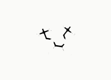 C[C@H](OCC(F)([N+](=O)[O-])[N+](=O)[O-])[C@@H](C)OCC(F)([N+](=O)[O-])[N+](=O)[O-]